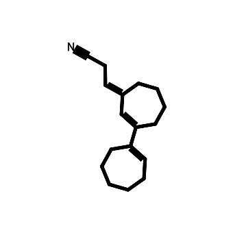 N#CCC=C1C=C(C2=CCCCCC2)CCCC1